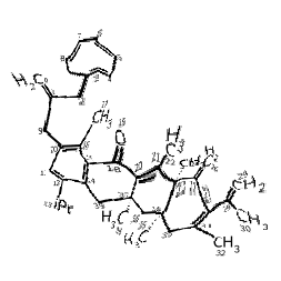 C=C(Cc1ccccc1)Cc1cc(C(C)C)c2c(c1C)C(=O)C1=C(C)[C@@]3(C)C(=C)C(C(=C)C)=C(C)C[C@@]3(C)C[C@@]1(C)C2